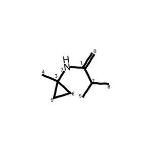 C=C(NC1(C)CC1)C(C)C